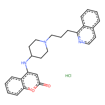 Cl.O=c1cc(NC2CCN(CCCc3nccc4ccccc34)CC2)c2ccccc2o1